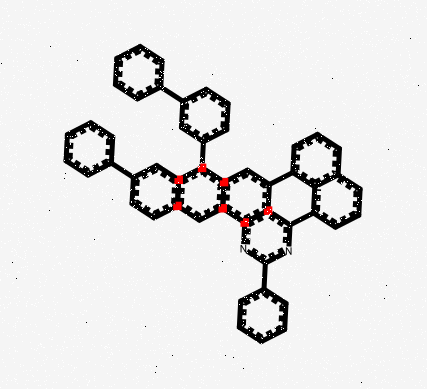 c1ccc(-c2cccc(N(c3cccc(-c4ccccc4)c3)c3cccc(-c4cccc5cccc(-c6nc(-c7ccccc7)nc(-c7ccccc7)n6)c45)c3)c2)cc1